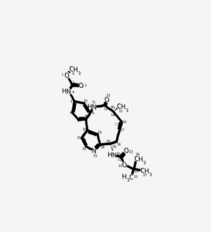 COC(=O)Nc1ccc2c(c1)NC(=O)[C@H](C)/C=C\C[C@H](NC(=O)OC(C)(C)C)c1cc-2ccn1